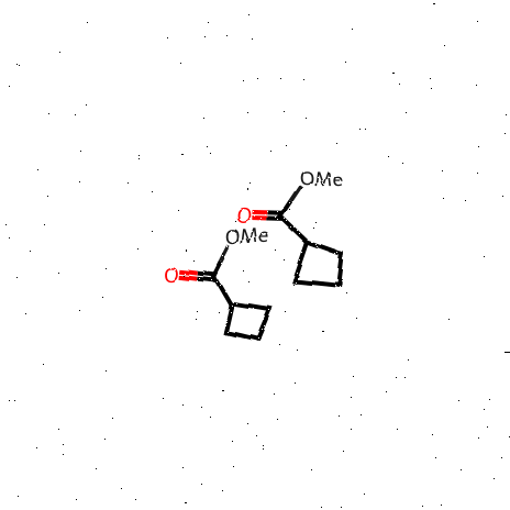 COC(=O)C1CCC1.COC(=O)C1CCC1